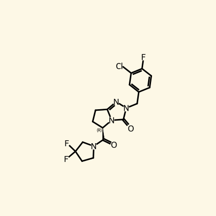 O=C([C@H]1CCc2nn(Cc3ccc(F)c(Cl)c3)c(=O)n21)N1CCC(F)(F)C1